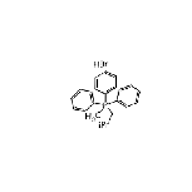 Br.CC(C)CP(C)(c1ccccc1)(c1ccccc1)c1ccccc1